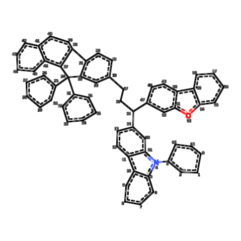 c1ccc(-n2c3ccccc3c3ccc(C(CCc4ccc5c(c4)C(c4ccccc4)(c4ccccc4)c4c-5ccc5ccccc45)c4ccc5c(c4)oc4ccccc45)cc32)cc1